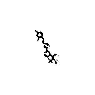 NN/C(=C(\N)c1ccnc(-c2cn(CCc3ccc(F)cc3F)cn2)c1)C(F)(F)F